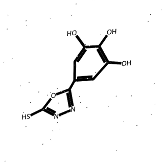 Oc1cc(-c2nnc(S)o2)cc(O)c1O